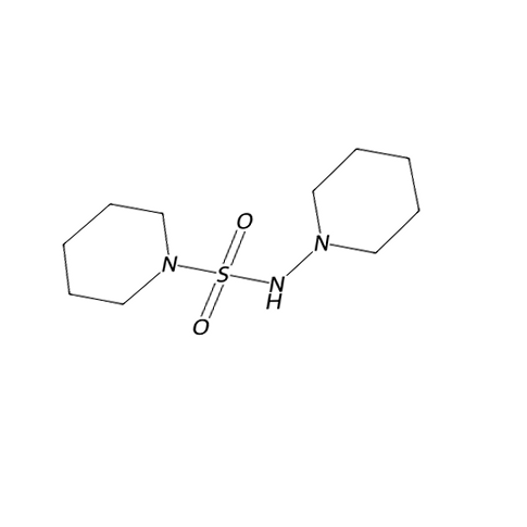 O=S(=O)(NN1CCCCC1)N1CCCCC1